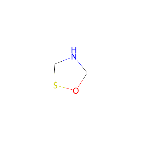 C1NCSO1